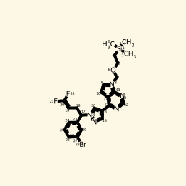 C[Si](C)(C)CCOCn1ccc2c(-c3cnn(C(CC=C(F)F)c4cccc(Br)c4)c3)ncnc21